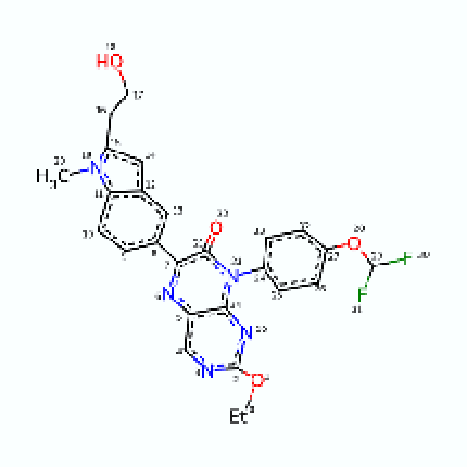 CCOc1ncc2nc(-c3ccc4c(c3)cc(CCO)n4C)c(=O)n(-c3ccc(OC(F)F)cc3)c2n1